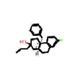 CCCC1(O)CC[C@@]2(Cc3ccccc3)c3ccc(F)cc3CC[C@H]2C1